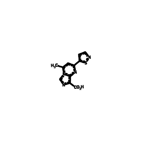 Cc1cc(-c2ccns2)nc2c(C(=O)O)ncn12